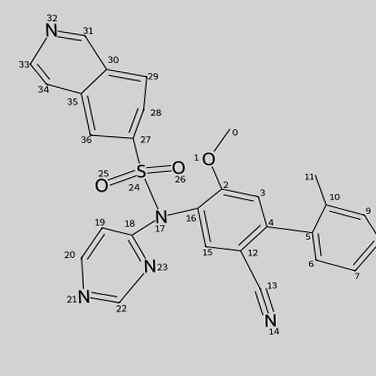 COc1cc(-c2ccccc2C)c(C#N)cc1N(c1ccncn1)S(=O)(=O)c1ccc2cnccc2c1